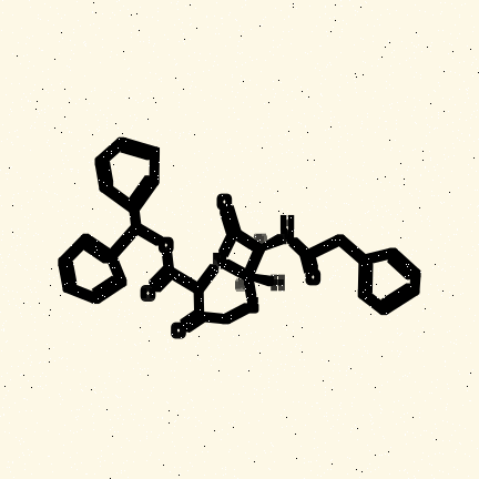 O=C(Cc1ccccc1)N[C@@H]1C(=O)N2C(C(=O)OC(c3ccccc3)c3ccccc3)C(=O)CS[C@@H]12